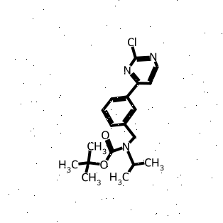 CC(C)N(Cc1cccc(-c2ccnc(Cl)n2)c1)C(=O)OC(C)(C)C